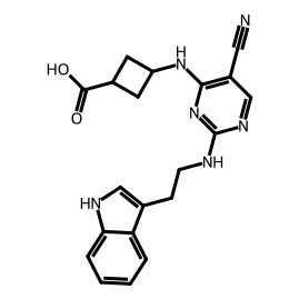 N#Cc1cnc(NCCc2c[nH]c3ccccc23)nc1NC1CC(C(=O)O)C1